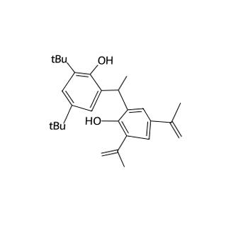 C=C(C)c1cc(C(=C)C)c(O)c(C(C)c2cc(C(C)(C)C)cc(C(C)(C)C)c2O)c1